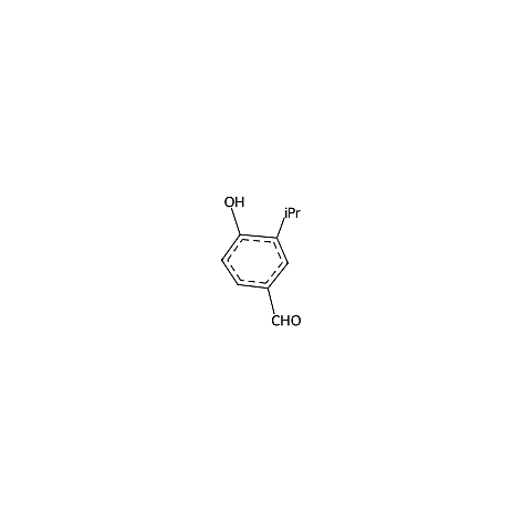 CC(C)c1cc(C=O)ccc1O